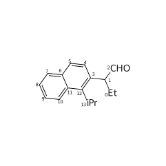 CCC(C=O)c1ccc2ccccc2c1C(C)C